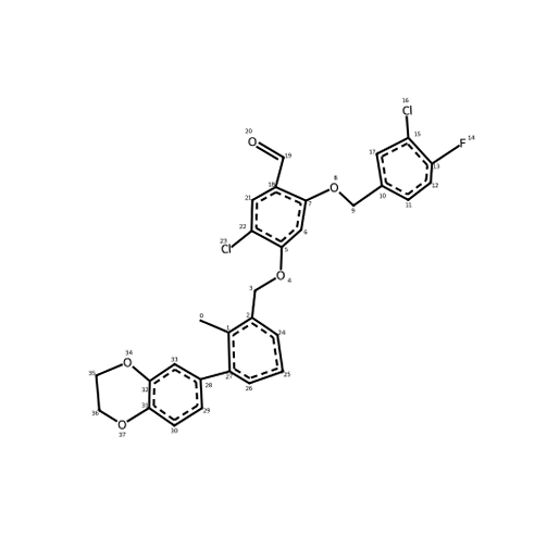 Cc1c(COc2cc(OCc3ccc(F)c(Cl)c3)c(C=O)cc2Cl)cccc1-c1ccc2c(c1)OCCO2